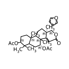 CC(=O)O[C@H]1CC[C@@]2(C)C(C[C@@H](OC(C)=O)[C@@]3(C)C4=CC(=O)O[C@@H](c5ccoc5)[C@]4(C)CCC23)C1(C)C